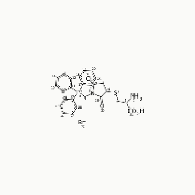 NC(CSC1CC(=O)N(C[P+](c2ccccc2)(c2ccccc2)c2ccccc2)C1=O)C(=O)O.[Br-]